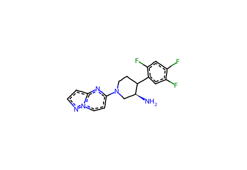 N[C@H]1CN(c2ccn3nccc3n2)CCC1c1cc(F)c(F)cc1F